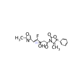 Cc1nc(/C=C(\F)[C@H](O)CC(=O)N2C(=O)O[C@H](c3ccccc3)[C@@H]2C)co1